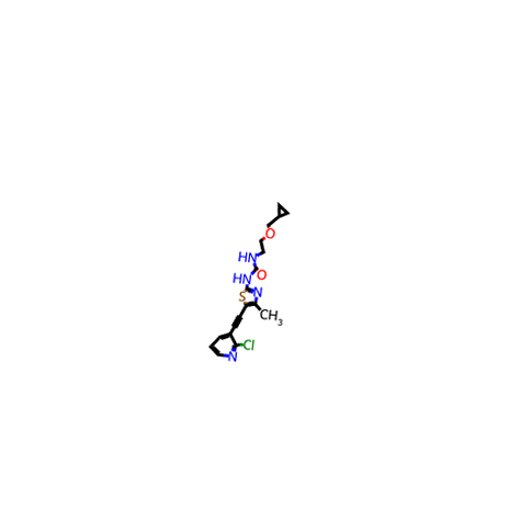 Cc1nc(NC(=O)NCCOCC2CC2)sc1C#Cc1cccnc1Cl